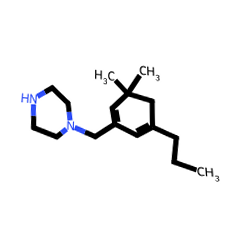 CCCC1=CC(CN2CCNCC2)=CC(C)(C)C1